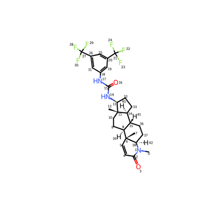 CN1C(=O)C=C[C@]2(C)[C@H]3CC[C@]4(C)[C@@H](NC(=O)Nc5cc(C(F)(F)F)cc(C(F)(F)F)c5)CC[C@H]4[C@@H]3CC[C@@H]12